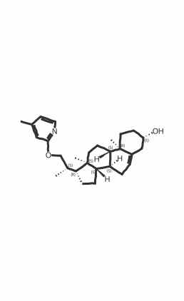 Cc1ccnc(OC[C@@H](C)[C@H]2CC[C@H]3[C@@H]4CC=C5C[C@@H](O)CC[C@]5(C)[C@H]4CC[C@]23C)c1